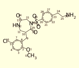 COc1ccc(Cl)cc1CC1CNC(=O)CN(S(=O)(=O)c2ccc(CCN)cc2)C1=O